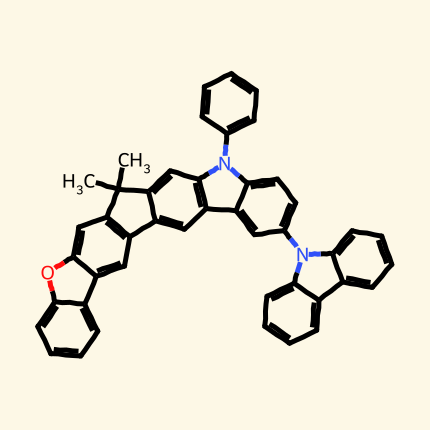 CC1(C)c2cc3oc4ccccc4c3cc2-c2cc3c4cc(-n5c6ccccc6c6ccccc65)ccc4n(-c4ccccc4)c3cc21